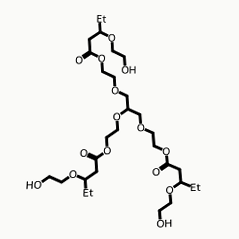 CCC(CC(=O)OCCOCC(COCCOC(=O)CC(CC)OCCO)OCCOC(=O)CC(CC)OCCO)OCCO